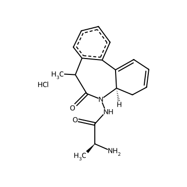 CC1C(=O)N(NC(=O)[C@H](C)N)[C@@H]2CC=CC=C2c2ccccc21.Cl